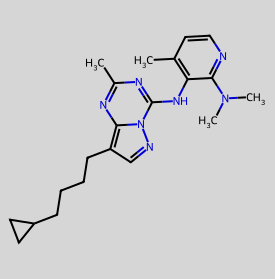 Cc1nc(Nc2c(C)ccnc2N(C)C)n2ncc(CCCCC3CC3)c2n1